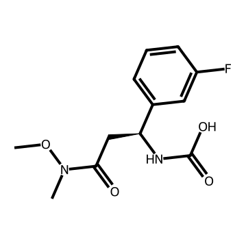 CON(C)C(=O)C[C@H](NC(=O)O)c1cccc(F)c1